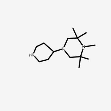 CN1C(C)(C)CN(C2CCNCC2)CC1(C)C